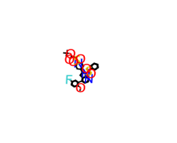 COc1ccc(F)cc1-c1ccnc2c1cc(C1=CCN(S(=O)(=O)CC(=O)OC(C)(C)C)CC1)n2S(=O)(=O)c1ccccc1